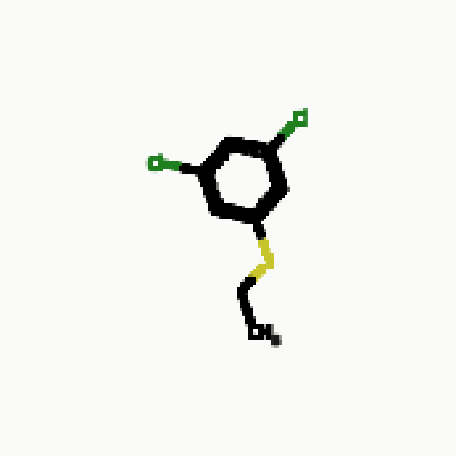 CCSc1cc(Cl)cc(Cl)c1